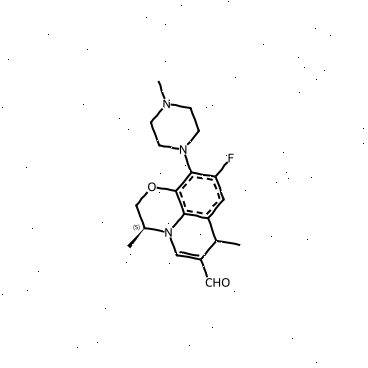 CC1C(C=O)=CN2c3c1cc(F)c(N1CCN(C)CC1)c3OC[C@@H]2C